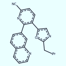 CC(C)Cc1ncc(-c2ccc(C#N)nc2-c2ccc3cccnc3c2)o1